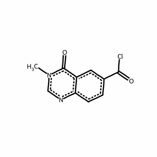 Cn1cnc2ccc(C(=O)Cl)cc2c1=O